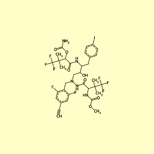 C#Cc1cc(F)c(CN(CC(O)C(Cc2ccc(I)cc2)NC(=O)C(OC(N)=O)C(C)(C)C(F)(F)F)NC(=O)C(NC(=O)OC)C(C)(C)C(F)(F)F)c(F)c1